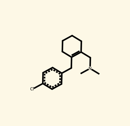 CN(C)CC1=C(Cc2ccc(Cl)cc2)CCCC1